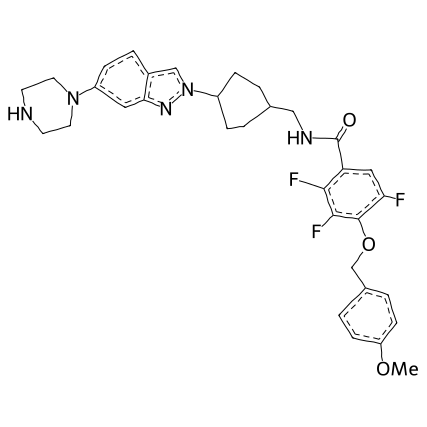 COc1ccc(COc2c(F)cc(C(=O)NCC3CCC(n4cc5ccc(N6CCNCC6)cc5n4)CC3)c(F)c2F)cc1